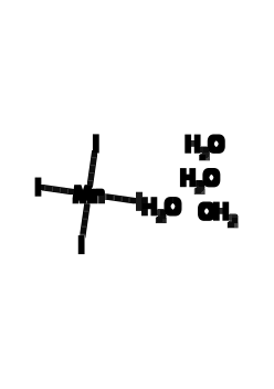 O.O.O.O.[I][Mn]([I])([I])[I]